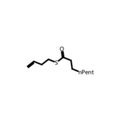 C=CCCSC(=O)CCCCCCC